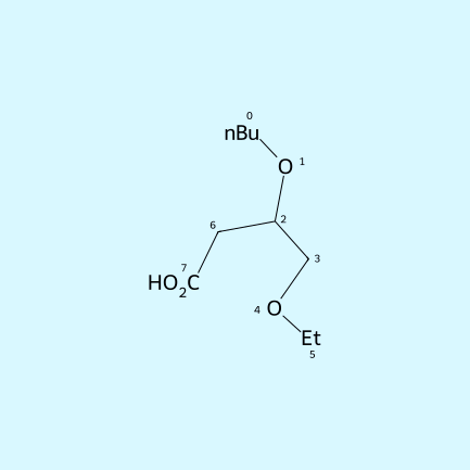 CCCCOC(COCC)CC(=O)O